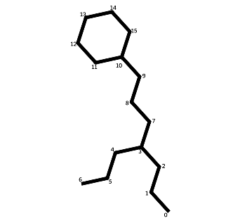 CCCC(CCC)CCC[C]1CCCCC1